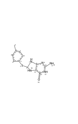 Cc1ccc(SC2Nc3nc(N)[nH]c(=O)c3N2)cc1